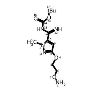 Cn1nc(OCCON)cc1C(=N)NC(=O)OC(C)(C)C